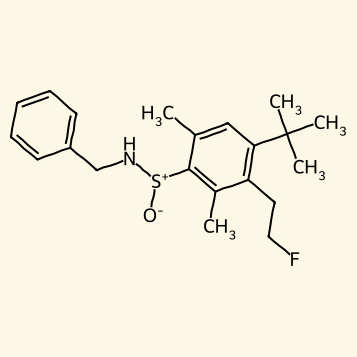 Cc1cc(C(C)(C)C)c(CCF)c(C)c1[S+]([O-])NCc1ccccc1